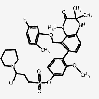 COc1cc(OS(=O)(=O)CCC(Cl)N2CCCCC2)ccc1-c1ccc2c(c1COc1cc(F)ccc1C)N(C)C(=O)C(C)(C)N2